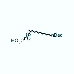 CCCCCCCCCCCCCCCCCCCCC(C)SOC(=O)CCC(=O)O